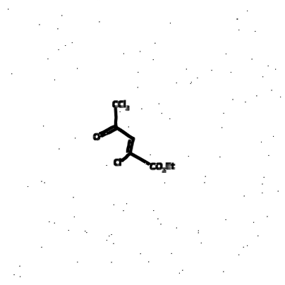 CCOC(=O)C(Cl)=CC(=O)C(Cl)(Cl)Cl